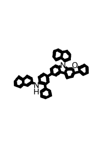 c1ccc(-c2cc(-c3ccc4c(c3)c3ccc5c6ccccc6oc5c3n4-c3cccc4ccccc34)ccc2Nc2ccc3ccccc3c2)cc1